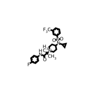 CC(C)(C(=O)Nc1ccc(F)cc1)N1CCC(N(C2CC2)S(=O)(=O)c2cccc(C(F)(F)F)c2)CC1